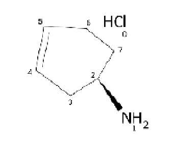 Cl.N[C@H]1CC=CCC1